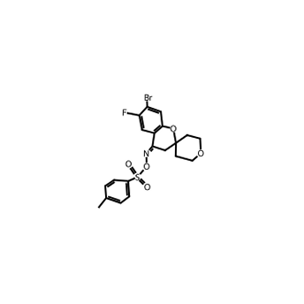 Cc1ccc(S(=O)(=O)O/N=C2\CC3(CCOCC3)Oc3cc(Br)c(F)cc32)cc1